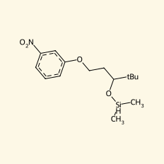 C[SiH](C)OC(CCOc1cccc([N+](=O)[O-])c1)C(C)(C)C